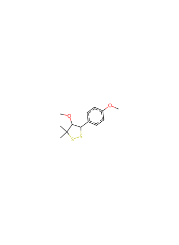 COc1ccc(C2SSC(C)(C)C2OC)cc1